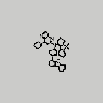 CC1(C)c2ccccc2-c2c(N(c3ccc(-c4cccc5c4oc4ccccc45)cc3)c3cc(-c4ccccc4)c4ncccc4n3)cccc21